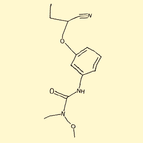 CCC(C#N)Oc1cccc(NC(=O)N(C)OC)c1